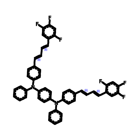 Fc1cc(F)c(/C=C/C=C/c2ccc(N(c3ccccc3)c3ccc(N(c4ccccc4)c4ccc(/C=C/C=C/c5cc(F)c(F)cc5F)cc4)cc3)cc2)cc1F